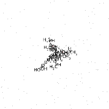 CPCCOC(=O)C(C)(Br)C(C)(C)C(=O)NCC(CNC(=O)C(C)(C)C(C)(Br)C(=O)OCCPC)(CNC(=O)C(C)(C)C(C)(Br)C(=O)OCCPC)COCCOCCOCCOCCOCC(O)CO